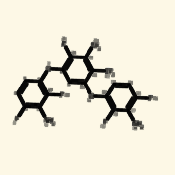 Nc1c(F)ccc(Oc2cc(Oc3ccc(F)c(N)c3F)c(C(F)(F)F)c(C(F)(F)F)c2F)c1F